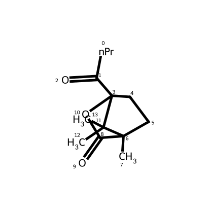 CCCC(=O)C12CCC(C)(C(=O)O1)C2(C)C